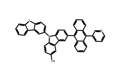 N#Cc1ccc2c(c1)c1cc(-c3c4ccccc4c(-c4cccnc4)c4ccccc34)ccc1n2-c1ccc2sc3ccccc3c2c1